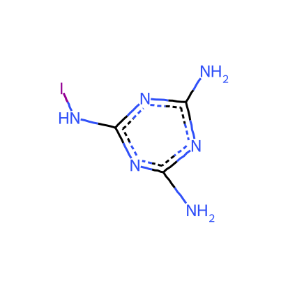 Nc1nc(N)nc(NI)n1